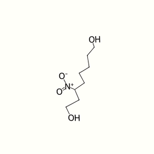 O=[N+]([O-])C(CCO)CCCCCO